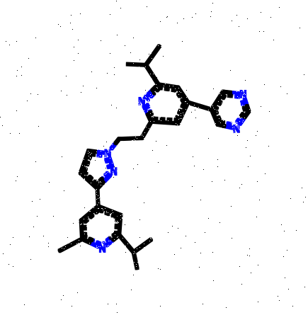 Cc1cc(-c2ccn(CCc3cc(-c4cncnc4)cc(C(C)C)n3)n2)cc(C(C)C)n1